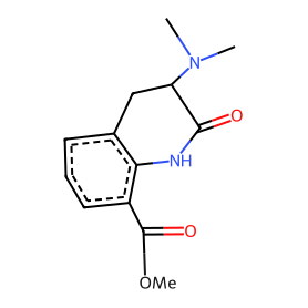 COC(=O)c1cccc2c1NC(=O)C(N(C)C)C2